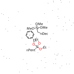 CCCCCCCCCCC[Si](OC)(OC)OC.CCCCC[Si](OCC)(OCC)OCC.c1ccccc1